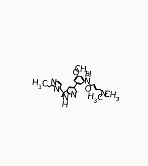 CCc1nccc(-c2c[nH]c3ncc(-c4cc(NC(=O)/C=C/CN(C)C)cc(OC)c4)cc23)n1